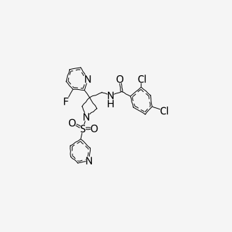 O=C(NCC1(c2ncccc2F)CN(S(=O)(=O)c2cccnc2)C1)c1ccc(Cl)cc1Cl